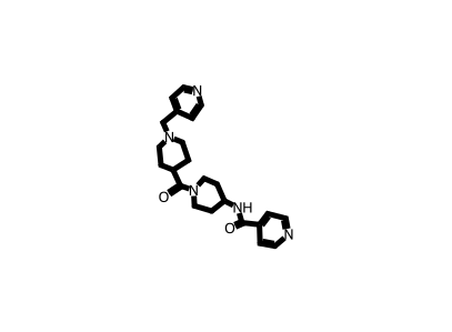 O=C(NC1CCN(C(=O)C2CCN(Cc3ccncc3)CC2)CC1)c1ccncc1